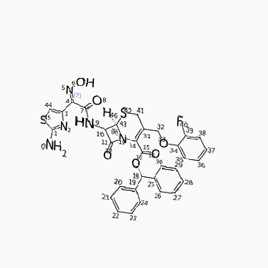 Nc1nc(/C(=N/O)C(=O)NC2C(=O)N3C(C(=O)OC(c4ccccc4)c4ccccc4)=C(COc4ccccc4F)CS[C@H]23)cs1